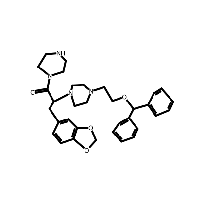 O=C(C(Cc1ccc2c(c1)OCO2)N1CCN(CCOC(c2ccccc2)c2ccccc2)CC1)N1CCNCC1